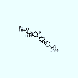 CCNC(=O)Nc1nc2cc(-c3cnc(N4CCC(C(=O)OC)CC4)nc3)c(F)cc2s1